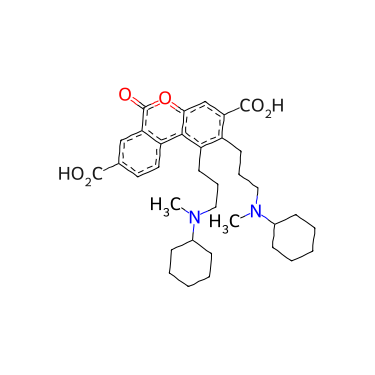 CN(CCCc1c(C(=O)O)cc2oc(=O)c3cc(C(=O)O)ccc3c2c1CCCN(C)C1CCCCC1)C1CCCCC1